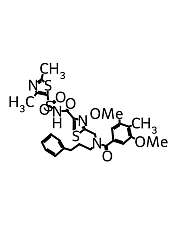 COc1cc(C(=O)N(CCCc2ccccc2)Cc2nc(C(=O)NS(=O)(=O)c3sc(C)nc3C)cs2)cc(OC)c1C